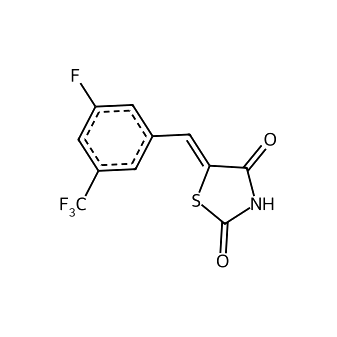 O=C1NC(=O)C(=Cc2cc(F)cc(C(F)(F)F)c2)S1